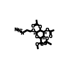 COC(=O)C1O[C@@H](OCCN=[N+]=[N-])C(OC(C)=O)[C@@H](OC(C)=O)[C@@H]1OC(C)=O